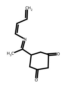 C=C/C=C\N=C(/C)C1CC(=O)CC(=O)C1